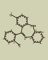 Clc1ccc2c(c1)C(c1ccccc1Br)=Nc1cccnc1N2